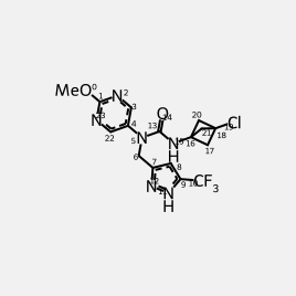 COc1ncc(N(Cc2cc(C(F)(F)F)[nH]n2)C(=O)NC23CC(Cl)(C2)C3)cn1